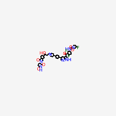 O=C1CCC(N2Cc3cc([C@H](O)CCN4CCC(c5ccc(-c6cnc7[nH]cc(C(=O)c8c(F)ccc(NS(=O)(=O)N9CC[C@@H](F)C9)c8F)c7c6)cc5)CC4)ccc3C2=O)C(=O)N1